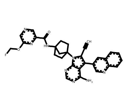 C#Cc1c(-c2cnc3ccccc3c2)c2c(N)ncnc2n1C12CCC(NC(=O)c3cncc(OCF)n3)(CC1)C2